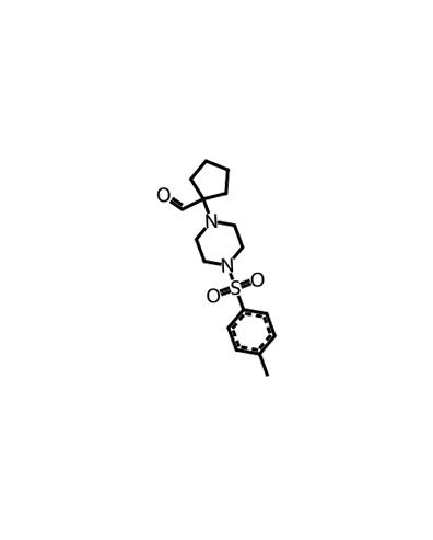 Cc1ccc(S(=O)(=O)N2CCN(C3(C=O)CCCC3)CC2)cc1